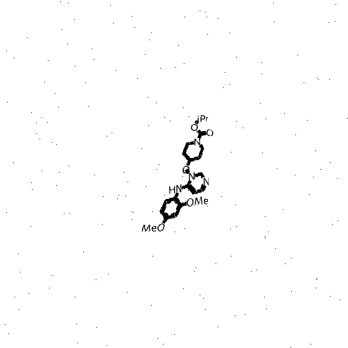 COc1ccc(NC2=CC=NCN2OC2CCN(C(=O)OC(C)C)CC2)c(OC)c1